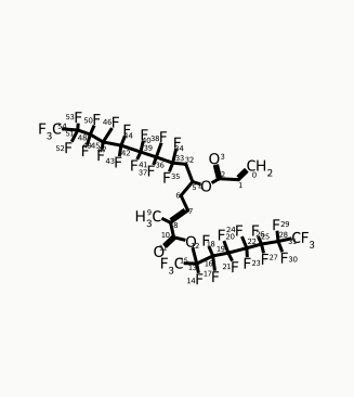 C=CC(=O)OC(CC=C(C)C(=O)OC(F)(C(F)(F)F)C(F)(F)C(F)(F)C(F)(F)C(F)(F)C(F)(F)C(F)(F)F)CC(F)(F)C(F)(F)C(F)(F)C(F)(F)C(F)(F)C(F)(F)C(F)(F)C(F)(F)F